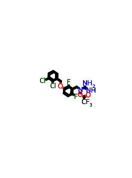 N=C(N)N(Cc1c(F)ccc(OCc2cccc(Cl)c2Cl)c1F)OC(=O)C(F)(F)F